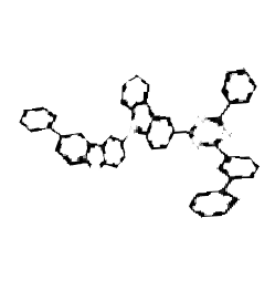 c1ccc(-c2cccc(-c3nc(-c4ccccc4)nc(-c4ccc5c(c4)c4ccccc4n5-c4ccc5oc6ccc(-c7ccccc7)cc6c5c4)n3)c2)cc1